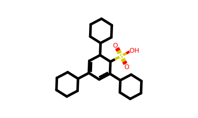 O=S(=O)(O)C1C(C2CCCCC2)=CC(C2CCCCC2)=CC1C1CCCCC1